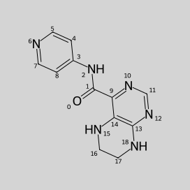 O=C(Nc1ccncc1)c1ncnc2c1NCCN2